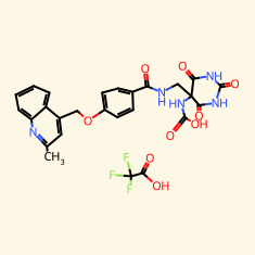 Cc1cc(COc2ccc(C(=O)NCC3(NC(=O)O)C(=O)NC(=O)NC3=O)cc2)c2ccccc2n1.O=C(O)C(F)(F)F